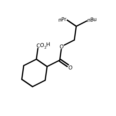 CCCCC(CCC)COC(=O)C1CCCCC1C(=O)O